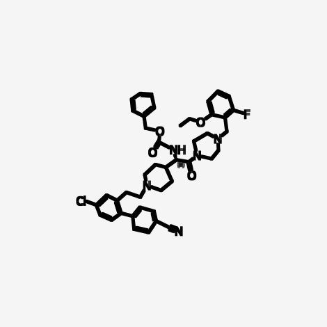 CCOc1cccc(F)c1CN1CCN(C(=O)[C@H](NC(=O)OCc2ccccc2)C2CCN(CCc3cc(Cl)ccc3-c3ccc(C#N)cc3)CC2)CC1